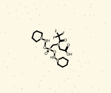 O=C(O)CN(CP(=O)(ONN1CCCCC1)ONN1CCCCC1)C(=O)C(F)(F)F